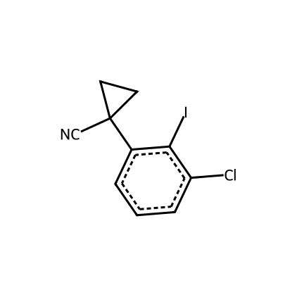 N#CC1(c2cccc(Cl)c2I)CC1